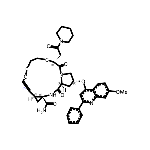 COc1ccc2c(O[C@@H]3C[C@H]4C(=O)N[C@]5(C(N)=O)C[C@H]5/C=C\CCCCC[C@H](CC(=O)N5CCCCC5)C(=O)N4C3)cc(-c3ccccc3)nc2c1